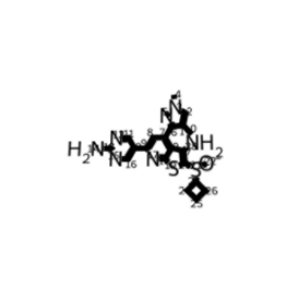 Cc1cn(C)nc1-c1cc(-c2cnc(N)nc2)nc2sc([S+]([O-])C3CCC3)c(N)c12